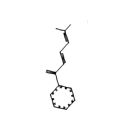 O=C(O)C(O)=CC=CC(=O)c1ccccc1